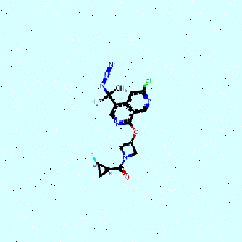 CC(C)(N=[N+]=[N-])c1cnc(OC2CN(C(=O)[C@H]3C[C@H]3F)C2)c2cnc(Cl)cc12